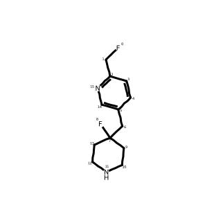 FCc1ccc(CC2(F)CCNCC2)cn1